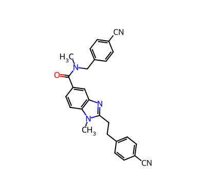 CN(Cc1ccc(C#N)cc1)C(=O)c1ccc2c(c1)nc(CCc1ccc(C#N)cc1)n2C